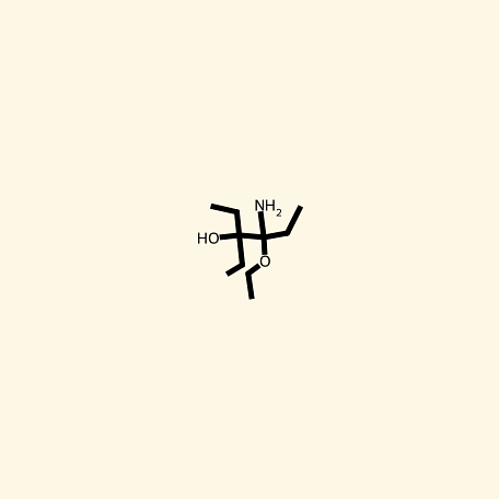 CCOC(N)(CC)C(O)(CC)CC